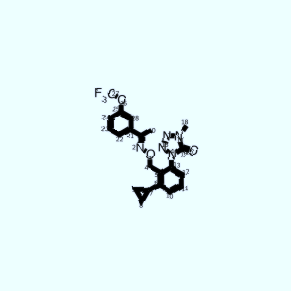 CC(=NOCc1c(C2CC2)cccc1-n1nnn(C)c1=O)c1cccc(OC(F)(F)F)c1